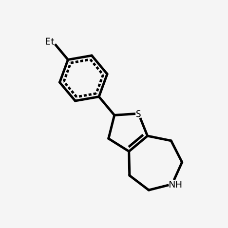 CCc1ccc(C2CC3=C(CCNCC3)S2)cc1